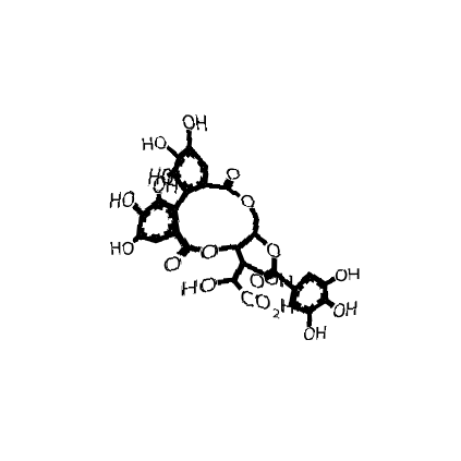 O=C(OC1COC(=O)c2cc(O)c(O)c(O)c2-c2c(cc(O)c(O)c2O)C(=O)OC1C(O)C(O)C(=O)O)c1cc(O)c(O)c(O)c1